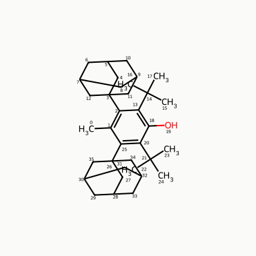 Cc1c(C23CC4CC(CC(C4)C2)C3)c(C(C)(C)C)c(O)c(C(C)(C)C)c1C12CC3CC(CC(C3)C1)C2